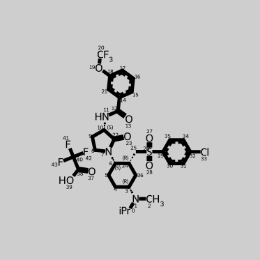 CC(C)N(C)[C@@H]1CC[C@H](N2CC[C@H](NC(=O)c3cccc(OC(F)(F)F)c3)C2=O)[C@H](CS(=O)(=O)c2ccc(Cl)cc2)C1.O=C(O)C(F)(F)F